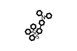 c1ccc(N(c2ccccc2)c2ccc(-c3ccc4c(c3)[Si](c3ccccc3)(c3ccccc3)c3ccccc3S4)cc2)cc1